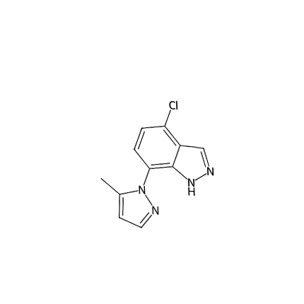 Cc1ccnn1-c1ccc(Cl)c2cn[nH]c12